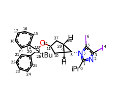 CC(C)c1nc(I)c(I)n1[C@@H]1[C@@H]2CC(O[Si](c3ccccc3)(c3ccccc3)C(C)(C)C)C[C@@H]21